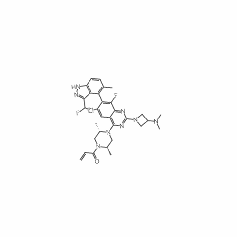 C=CC(=O)N1C[C@H](C)N(c2nc(N3CC(N(C)C)C3)nc3c(F)c(-c4c(C)ccc5[nH]nc(C(F)F)c45)c(Cl)cc23)C[C@H]1C